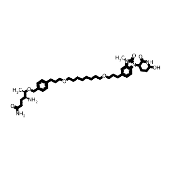 C[C@@H](OCc1ccc(CCCOCCCCCCCCOCCCc2ccc3c(c2)n(C)c(=O)n3C2CCC(O)NC2=O)cc1)[C@@H](N)CCC(N)=O